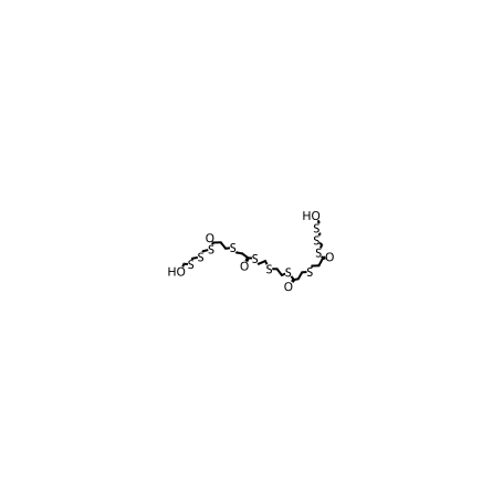 O=C(CCSCCC(=O)SCSCSCO)SCCSCCSC(=O)CCSCCC(=O)SCSCSCO